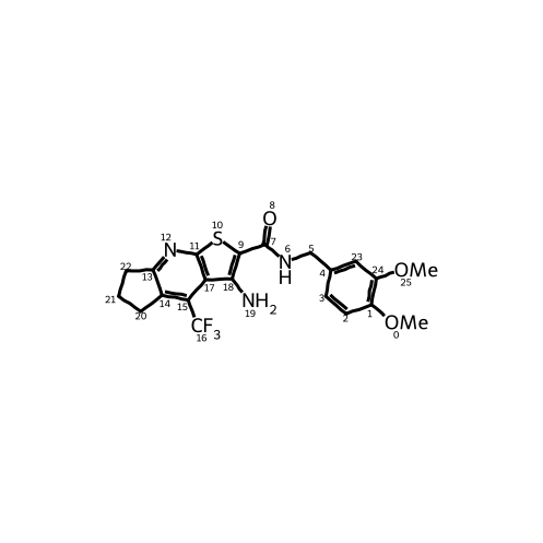 COc1ccc(CNC(=O)c2sc3nc4c(c(C(F)(F)F)c3c2N)CCC4)cc1OC